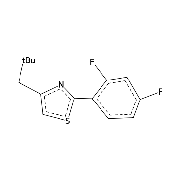 CC(C)(C)Cc1csc(-c2ccc(F)cc2F)n1